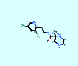 O=C(NCCc1ncc(Cl)cc1Cl)C1(C(F)(F)F)C=NC=CN1